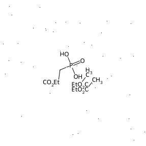 CCOC(=O)CP(=O)(O)O.CCOC(C)=O.CCOC(C)=O